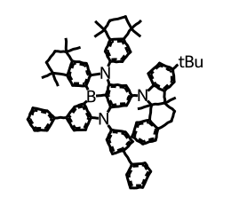 CC(C)(C)c1ccc2c(c1)C1(C)CCc3ccccc3C1(C)N2c1cc2c3c(c1)N(c1ccc4c(c1)C(C)(C)CCC4(C)C)c1cc4c(cc1B3c1cc(-c3ccccc3)ccc1N2c1ccc(-c2ccccc2)cc1)C(C)(C)CCC4(C)C